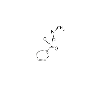 C=NOS(=O)(=O)c1ccccc1